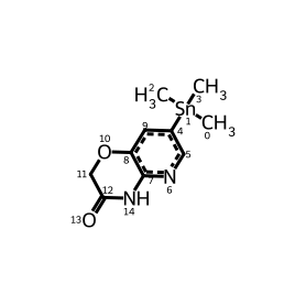 [CH3][Sn]([CH3])([CH3])[c]1cnc2c(c1)OCC(=O)N2